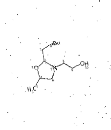 CCC(C)CC1OC(C)CN1CCO